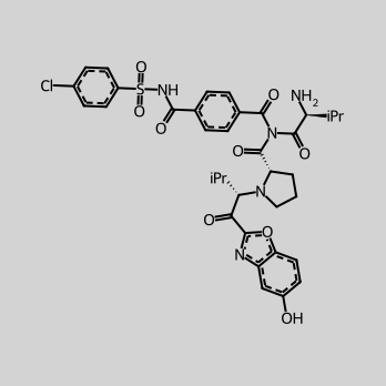 CC(C)[C@H](N)C(=O)N(C(=O)c1ccc(C(=O)NS(=O)(=O)c2ccc(Cl)cc2)cc1)C(=O)[C@@H]1CCCN1[C@H](C(=O)c1nc2cc(O)ccc2o1)C(C)C